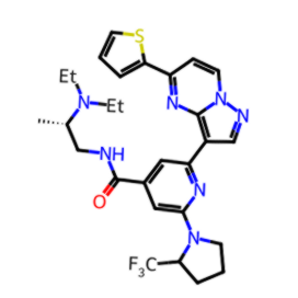 CCN(CC)[C@@H](C)CNC(=O)c1cc(-c2cnn3ccc(-c4cccs4)nc23)nc(N2CCCC2C(F)(F)F)c1